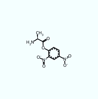 C[C@H](N)C(=O)Oc1ccc([N+](=O)[O-])cc1[N+](=O)[O-]